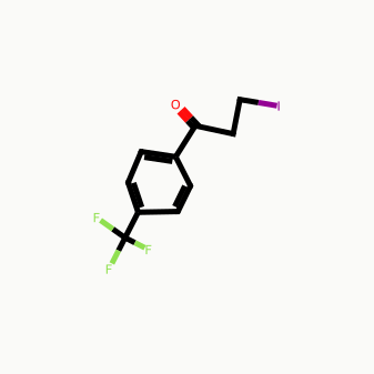 O=C(CCI)c1ccc(C(F)(F)F)cc1